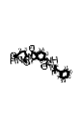 O=C1CCC(N2Cc3cc(NC(=O)N4CC(c5ccccc5)C4)ccc3C2=O)C(=O)N1